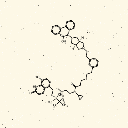 CC(C)(C)[Si](C)(C)O[C@@H](CNCCN(C(=O)CCOCCc1cccc(CCN2C[C@H]3CC(N(C(=O)O)c4ccccc4-c4ccccc4)C[C@H]3C2)c1)C1CC1)c1ccc(O)c2[nH]c(=O)ccc12